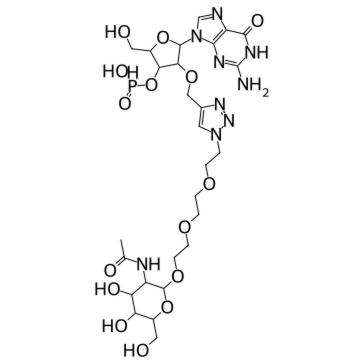 CC(=O)NC1C(OCCOCCOCCn2cc(COC3C(O[PH](=O)O)C(CO)OC3n3cnc4c(=O)[nH]c(N)nc43)nn2)OC(CO)C(O)C1O